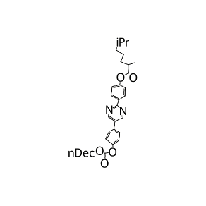 CCCCCCCCCCOC(=O)Oc1ccc(-c2cnc(-c3ccc(OC(=O)C(C)CCCC(C)C)cc3)nc2)cc1